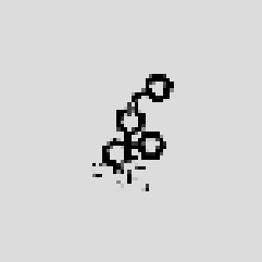 CN1C(=O)CCC(c2ccccc2)(C2CCN(Cc3ccccc3)CC2)C1=O